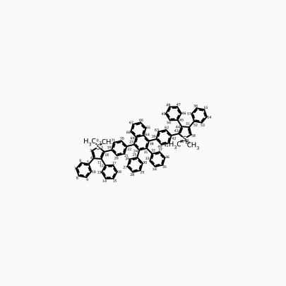 CS1(C)C=C(c2ccccc2)C(c2ccccc2)=C1c1ccc(-c2c(-c3ccccc3)c(-c3ccccc3)c(-c3ccc(C4=C(c5ccccc5)C(c5ccccc5)=CS4(C)C)cc3)c3ccccc23)cc1